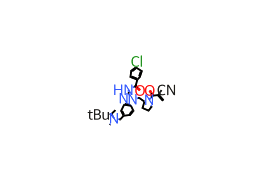 C=C(C#N)C(=O)N1CCCC1Cn1c(NC(=O)c2ccc(Cl)cc2)nc2cc(CN(C)[C@@H](C)C(C)(C)C)ccc21